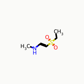 CCS(=O)(=O)C=CNC